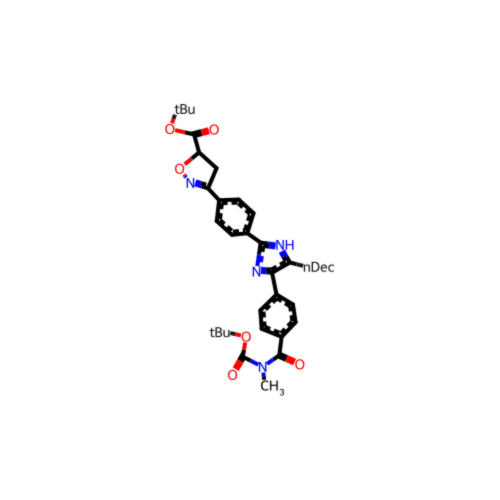 CCCCCCCCCCc1[nH]c(-c2ccc(C3=NOC(C(=O)OC(C)(C)C)C3)cc2)nc1-c1ccc(C(=O)N(C)C(=O)OC(C)(C)C)cc1